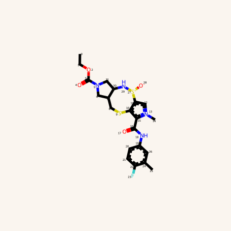 CCOC(=O)N1CC2CSc3c(cn(C)c3C(=O)Nc3ccc(F)c(C)c3)[S+]([O-])NC2C1